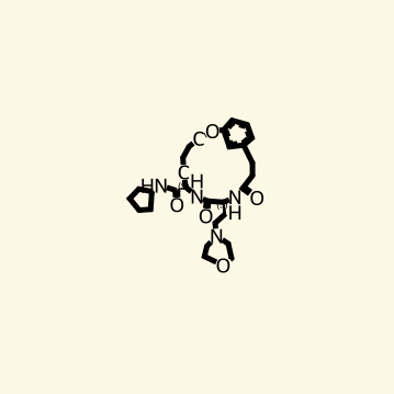 O=C1CCc2cccc(c2)OCCCC[C@@H](C(=O)NC2CCCC2)NC(=O)[C@H](CCN2CCOCC2)N1